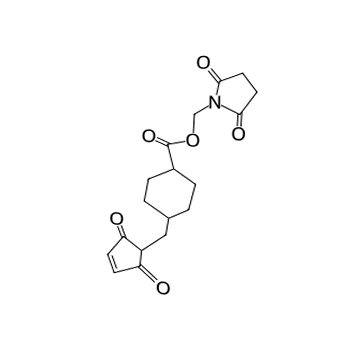 O=C(OCN1C(=O)CCC1=O)C1CCC(CC2C(=O)C=CC2=O)CC1